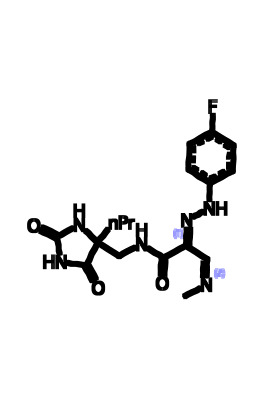 CCCC1(CNC(=O)C(/C=N\C)=N/Nc2ccc(F)cc2)NC(=O)NC1=O